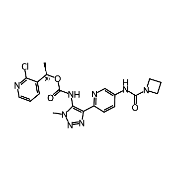 C[C@@H](OC(=O)Nc1c(-c2ccc(NC(=O)N3CCC3)cn2)nnn1C)c1cccnc1Cl